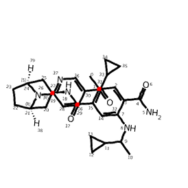 Cc1cc(C(N)=O)c(NC(C)C2CC2)cc1C(=O)N[C@H]1C[C@H]2CC[C@@H](C1)N2c1ccc(C(=O)C2CC2)cn1